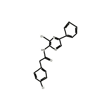 CCc1nc(-c2ccccc2)cnc1NC(=O)Cc1ccc(Cl)cc1